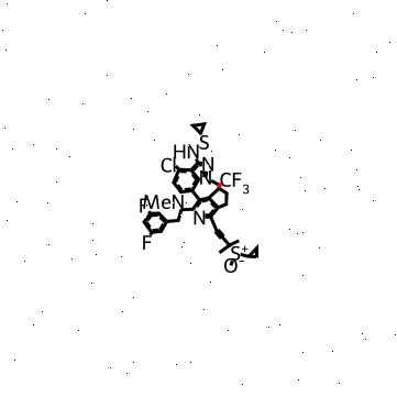 CNC(Cc1cc(F)cc(F)c1)c1nc(C#CC(C)(C)[S+]([O-])C2CC2)c2c(c1-c1ccc(Cl)c3c(NSC4CC4)nn(CC(F)(F)F)c13)CCC2